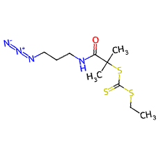 CCSC(=S)SC(C)(C)C(=O)NCCCN=[N+]=[N-]